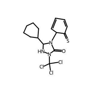 O=C1N(C2C=CC=CC2=S)C(C2CCCCC2)NN1C(Cl)(Cl)Cl